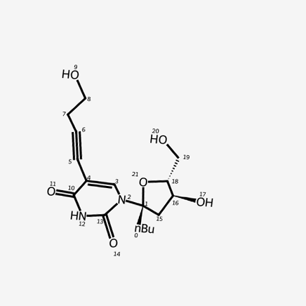 CCCC[C@]1(n2cc(C#CCCO)c(=O)[nH]c2=O)C[C@H](O)[C@@H](CO)O1